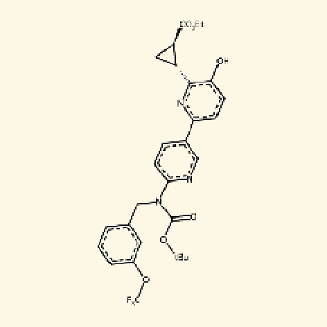 CCOC(=O)[C@@H]1C[C@H]1c1nc(-c2ccc(N(Cc3cccc(OC(F)(F)F)c3)C(=O)OC(C)(C)C)nc2)ccc1O